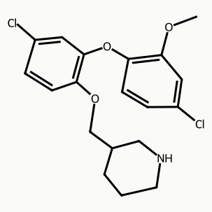 COc1cc(Cl)ccc1Oc1cc(Cl)ccc1OCC1CCCNC1